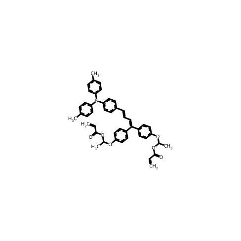 C=CC(=O)OC(C)Oc1ccc(C(=CC=Cc2ccc(N(c3ccc(C)cc3)c3ccc(C)cc3)cc2)c2ccc(OC(C)OC(=O)C=C)cc2)cc1